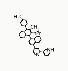 CCCC1=C(C)C(C2C=CC(C)=CC2)C2CCCCC2C1C1C=CC(c2ccnc(C3=CC=CNC3)c2)=C2C=CCCC21